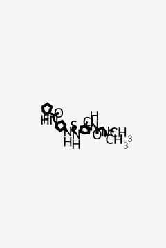 CCN(CC)CC(=O)Nc1ccc(NC(=S)Nc2ccc(NC(=O)c3ccccc3F)cc2)cc1Cl